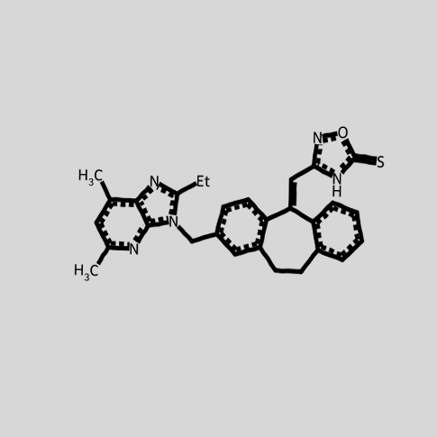 CCc1nc2c(C)cc(C)nc2n1Cc1ccc2c(c1)CCc1ccccc1/C2=C\c1noc(=S)[nH]1